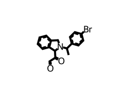 CC(c1ccc(Br)cc1)N1Cc2ccccc2C1C(=O)C=O